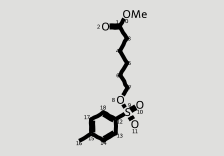 COC(=O)CCCCCOS(=O)(=O)c1ccc(C)cc1